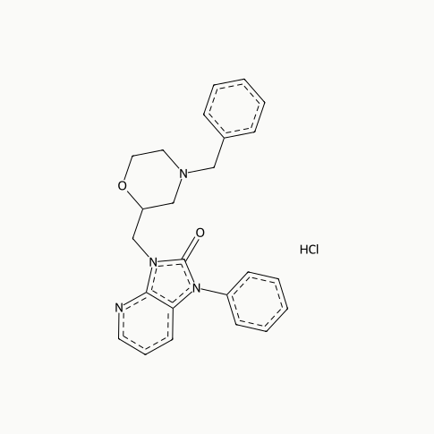 Cl.O=c1n(CC2CN(Cc3ccccc3)CCO2)c2ncccc2n1-c1ccccc1